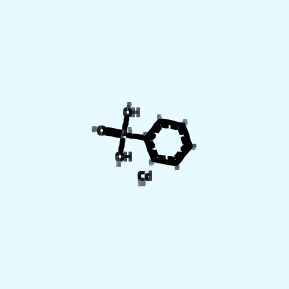 O=P(O)(O)c1ccccc1.[Cd]